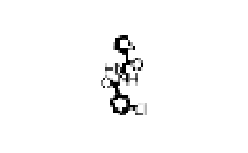 O=C(NNC(=O)c1cccs1)c1cccc(Cl)c1